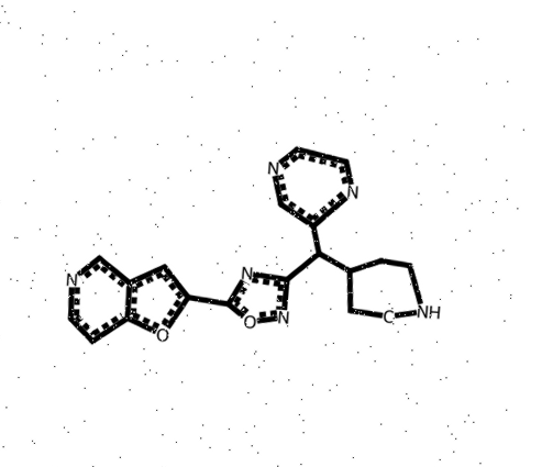 c1cnc(C(c2noc(-c3cc4cnccc4o3)n2)C2CCNCC2)cn1